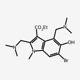 CCOC(=O)c1c(CN(C)C)n(C)c2cc(Br)c(O)c(CN(C)C)c12